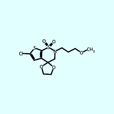 COCCCN1CC2(OCCO2)c2cc(Cl)sc2S1(=O)=O